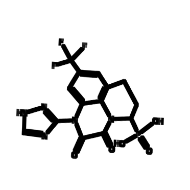 O=c1c(=O)n2c3c(cc(C(F)(F)F)cc3n1-c1nc[nH]n1)CCC2P(=O)(O)O